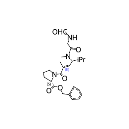 C/C(=C\C(C(C)C)N(C)C(=O)CNC=O)C(=O)N1CCC[C@H]1C(=O)OCc1ccccc1